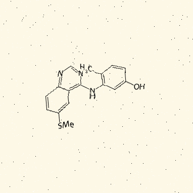 CSc1ccc2ncnc(Nc3cc(O)ccc3C)c2c1